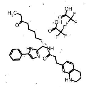 CCC(=O)CCCCC[C@H](NC(=O)CCc1ccc2c(n1)NCCC2)c1ncc(-c2ccccc2)[nH]1.O=C(O)C(F)(F)F.O=C(O)C(F)(F)F